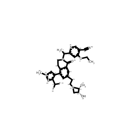 CCOc1cc(C(C)N2CCc3c(cc(CCN4C[C@@H](O)[C@H]4C)cc3-c3cn(C)nc3C(F)F)C2=O)ncc1C#N